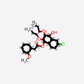 CCCOc1c(OCCC)c(OC(=O)Cc2ccccc2OC)c2ccc(Cl)cc2c1O